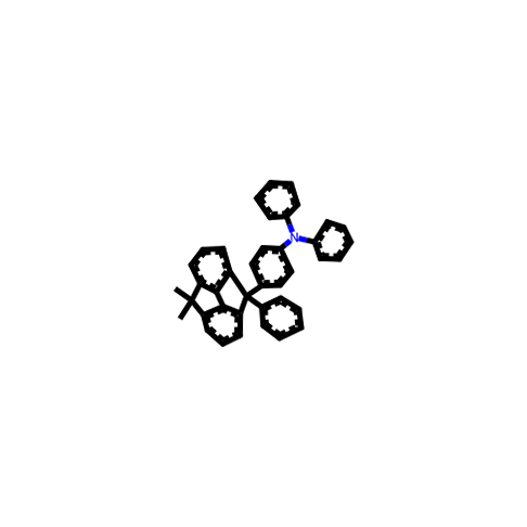 CC1(C)c2cccc3c2-c2c1cccc2C3(c1ccccc1)c1ccc(N(c2ccccc2)c2ccccc2)cc1